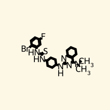 CN(C)c1nc(NC2CCC(NC(=S)Nc3cc(F)ccc3Br)CC2)nc2c1CCCC2